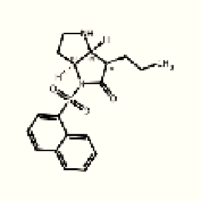 CCC[C@H]1C(=O)N(S(=O)(=O)c2cccc3ccccc23)[C@H]2CCN[C@H]12